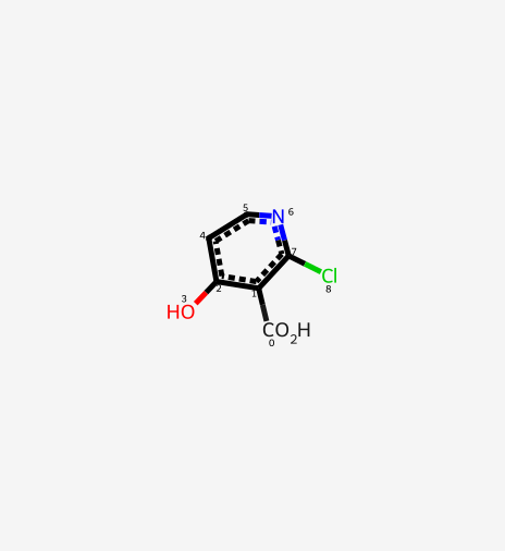 O=C(O)c1c(O)ccnc1Cl